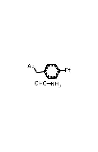 CCc1ccc(CC(C)=O)cc1.NC=O